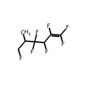 CC(CF)C(F)(F)C(F)C(F)=C(F)F